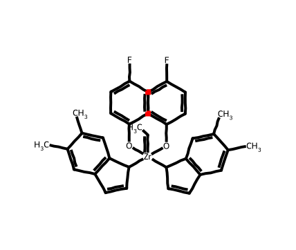 C[CH]=[Zr]([O]c1ccc(F)cc1)([O]c1ccc(F)cc1)([CH]1C=Cc2cc(C)c(C)cc21)[CH]1C=Cc2cc(C)c(C)cc21